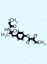 C=CC(=O)NC(C)(C)Cc1ccc(OC(=O)C(=O)CC)cc1